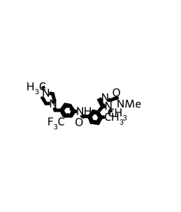 CNC(=O)c1ncc(-c2cc(C(=O)Nc3ccc(CN4CCN(C)CC4)c(C(F)(F)F)c3)ccc2C)n1C